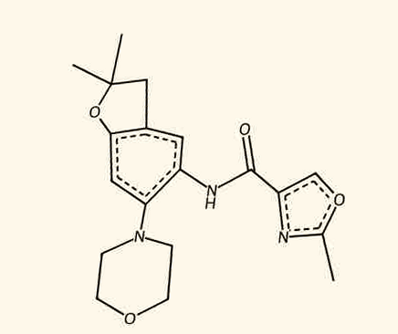 Cc1nc(C(=O)Nc2cc3c(cc2N2CCOCC2)OC(C)(C)C3)co1